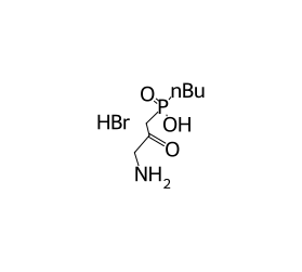 Br.CCCCP(=O)(O)CC(=O)CN